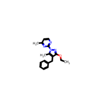 CCOc1nn(-c2nccc(C)n2)c(C)c1Cc1ccccc1